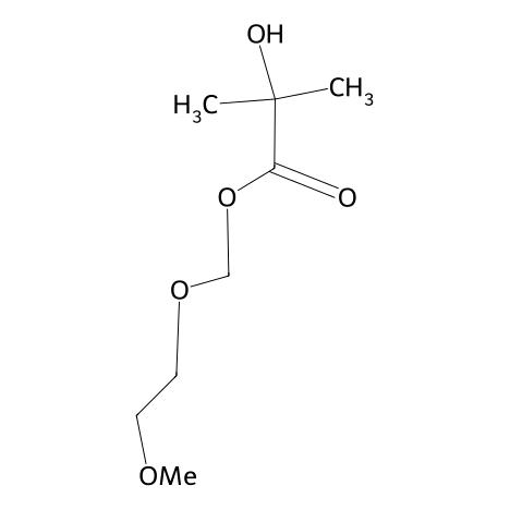 COCCOCOC(=O)C(C)(C)O